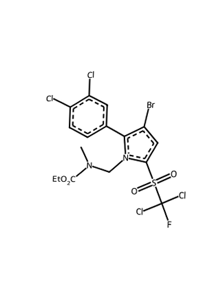 CCOC(=O)N(C)Cn1c(S(=O)(=O)C(F)(Cl)Cl)cc(Br)c1-c1ccc(Cl)c(Cl)c1